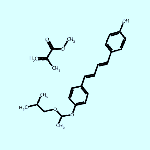 C=C(C)C(=O)OC.CC(C)COC(C)Oc1ccc(C=CC=Cc2ccc(O)cc2)cc1